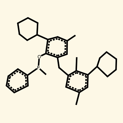 Cc1cc(Cc2cc(C)cc(C3CCCCC3)c2OP(C)c2ccccc2)c(C)c(C2CCCCC2)c1